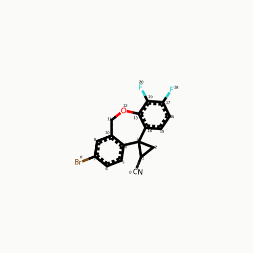 N#CC1CC12c1ccc(Br)cc1COc1c2ccc(F)c1F